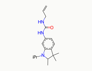 C=CCNC(=O)Nc1ccc2c(c1)N(C(C)C)C(C)C2(C)C